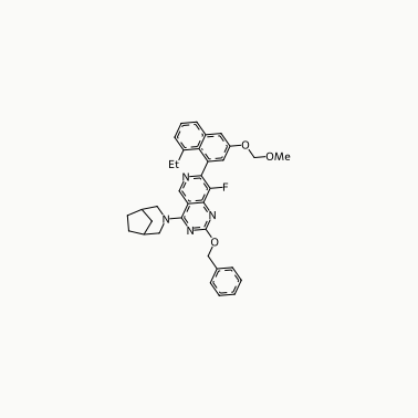 CCc1cccc2cc(OCOC)cc(-c3ncc4c(N5CC6CCC(C6)C5)nc(OCc5ccccc5)nc4c3F)c12